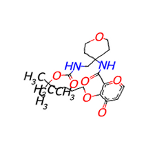 CCCCOc1c(C(=O)NC2(CNC(=O)OC(C)(C)C)CCOCC2)occc1=O